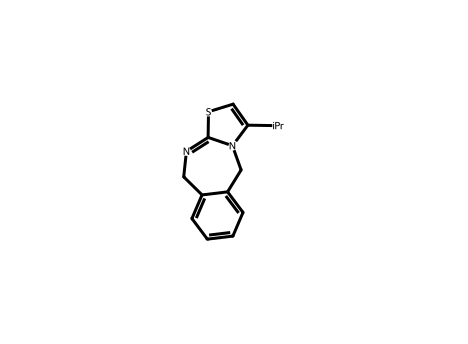 CC(C)C1=CSC2=NCc3ccccc3CN12